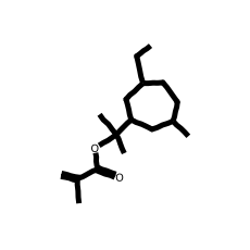 C=C(C)C(=O)OC(C)(C)C1CC(C)CCC(CC)C1